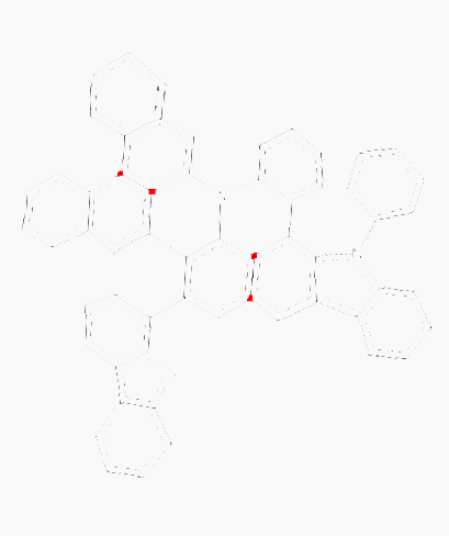 c1ccc(-n2c3ccccc3c3cccc(-c4ccccc4N(c4ccc5ccccc5c4)c4cccc(-c5cccc6c5oc5ccccc56)c4-c4ccc5ccccc5c4)c32)cc1